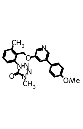 COc1ccc(-c2cncc(OCc3c(C)cccc3-n3nnn(C)c3=O)c2)cc1